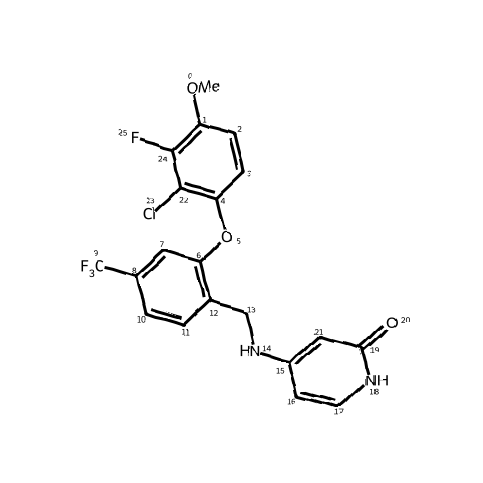 COc1ccc(Oc2cc(C(F)(F)F)ccc2CNc2cc[nH]c(=O)c2)c(Cl)c1F